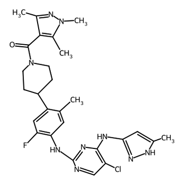 Cc1cc(Nc2nc(Nc3cc(C)c(C4CCN(C(=O)c5c(C)nn(C)c5C)CC4)cc3F)ncc2Cl)n[nH]1